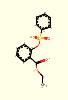 CCOC(=O)c1ccccc1OS(=O)(=O)c1ccccc1